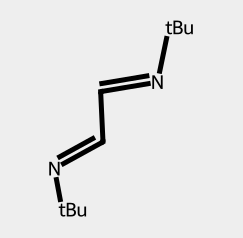 CC(C)(C)N=C/C=N/C(C)(C)C